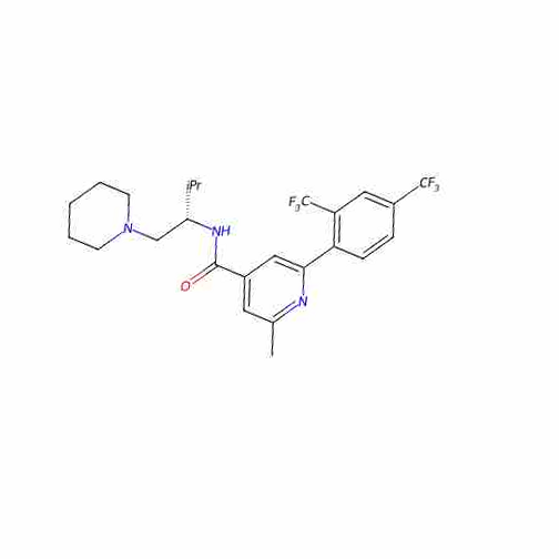 Cc1cc(C(=O)N[C@H](CN2CCCCC2)C(C)C)cc(-c2ccc(C(F)(F)F)cc2C(F)(F)F)n1